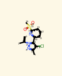 C=C(C)n1nc(C)c(Cl)c1-c1cccc(S(C)(=O)=O)n1